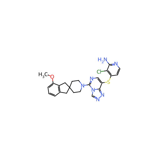 COc1cccc2c1CC1(CCN(c3ncc(Sc4ccnc(N)c4Cl)c4nncn34)CC1)C2